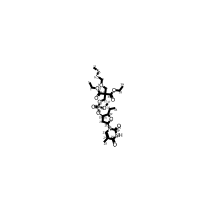 CCOC(=O)C(COCSSC)(COP(=O)(OC)O[C@@H]1C[C@H](n2cc(C)c(=O)[nH]c2=O)OC1CC)C(=O)OCC